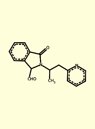 CC(Cc1ccccn1)N1C(=O)c2ccccc2C1C=O